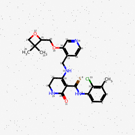 Cc1cccc(NC(=S)C2=C(NCc3ccncc3OCC3OCC3(C)C)CCNC2=O)c1Cl